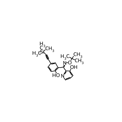 CC(C)(C)ON=C(c1cc(C#C[Si](C)(C)C)ccc1O)c1ncccc1O